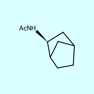 CC(=O)N[C@H]1CC2CCC1C2